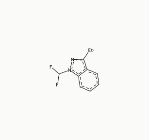 C[CH]c1nn(C(F)F)c2ccccc12